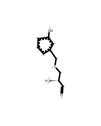 N[C@@H](C=O)CSCc1cccc(O)c1